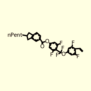 C=Cc1c(F)cc(OC(F)(F)c2c(F)cc(OC(=O)c3ccc4c(c3)CC(CCCCC)C4)cc2F)cc1F